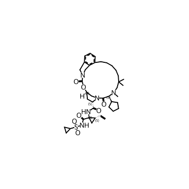 C=C[C@@H]1C[C@]1(NC(=O)[C@@H]1C[C@@H]2CN1C(=O)[C@H](C1CCCC1)N(C)CC(C)(C)CCCCCc1cccc3c1CN(C3)C(=O)O2)C(=O)NS(=O)(=O)C1CC1